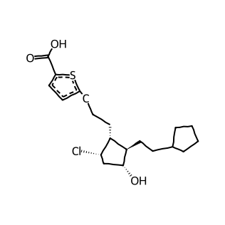 O=C(O)c1ccc(CCC[C@@H]2[C@@H](CCC3CCCC3)[C@H](O)C[C@@H]2Cl)s1